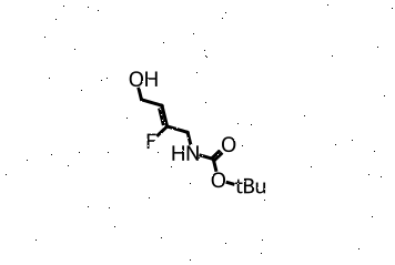 CC(C)(C)OC(=O)NCC(F)=CCO